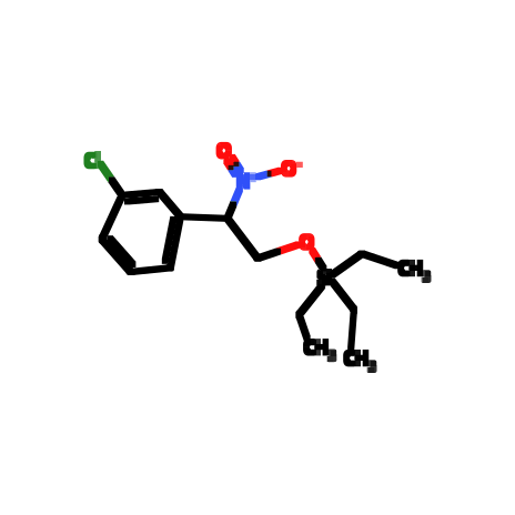 CC[Si](CC)(CC)OCC(c1cccc(Cl)c1)[N+](=O)[O-]